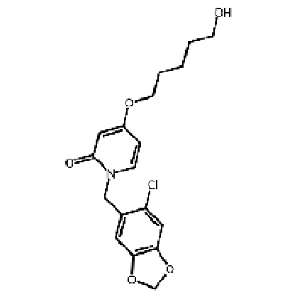 O=c1cc(OCCCCCO)ccn1Cc1cc2c(cc1Cl)OCO2